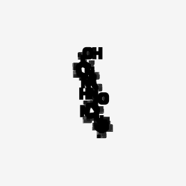 O=C(NCc1cn2cc(CO)ccc2n1)c1cncc(-n2cccc2)c1